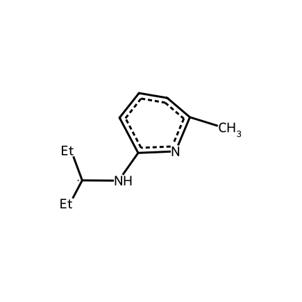 CC[C](CC)Nc1cccc(C)n1